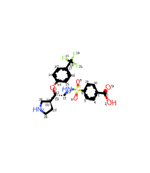 O=C(O)c1ccc(S(=O)(=O)NC[C@@H](Oc2ccc(C(F)(F)F)cc2)[C@H]2CCNC2)cc1